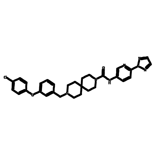 O=C(Nc1ccc(-n2nccn2)nc1)N1CCC2(CCN(Cc3cccc(Oc4ccc(Cl)cc4)c3)CC2)CC1